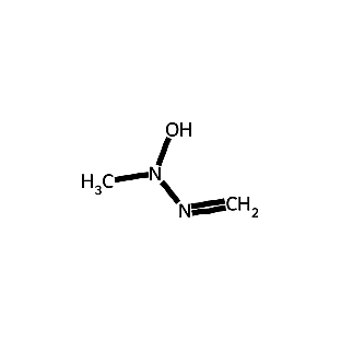 C=NN(C)O